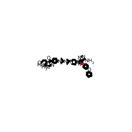 Cc1nc2cc(N3CC(N4CC(N5CCC(n6nc(-c7ccc(Oc8ccccc8)cc7)c7c(N)ncnc76)CC5)C4)C3)ccc2c(=O)n1C1CCC(=O)NC1=O